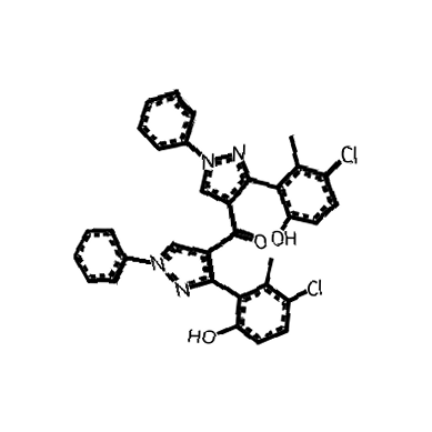 Cc1c(Cl)ccc(O)c1-c1nn(-c2ccccc2)cc1C(=O)c1cn(-c2ccccc2)nc1-c1c(O)ccc(Cl)c1C